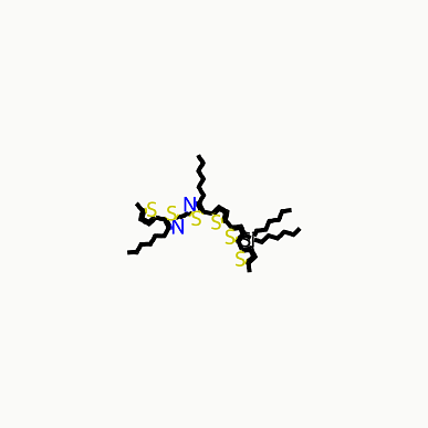 CCCCCCc1nc(-c2nc(CCCCCC)c(-c3ccc(-c4cc5c(s4)-c4sc(C)cc4[Si]5(CCCCCC)CCCCCC)s3)s2)sc1-c1ccc(C)s1